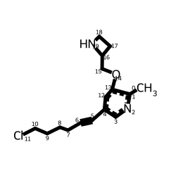 Cc1ncc(C#CCCCCCl)cc1OCC1CCN1